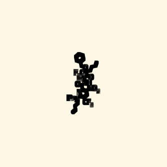 C=CCCN(c1nc(C(=O)NNC(=O)C(CCC=C)(OCc2ccccc2)C(F)(F)F)c([N+](=O)[O-])cc1C(F)(F)F)C(C)C